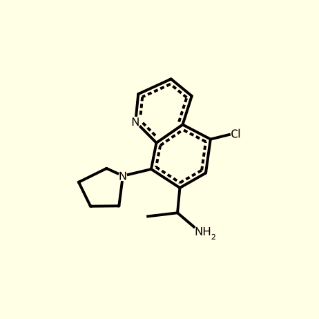 CC(N)c1cc(Cl)c2cccnc2c1N1CCCC1